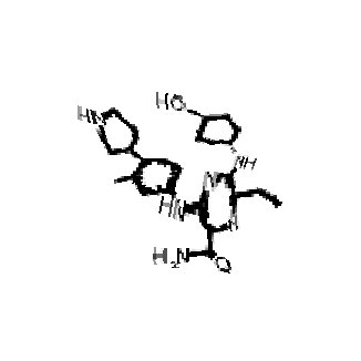 CCc1nc(C(N)=O)c(Nc2ccc(C3CCNCC3)c(C)c2)nc1N[C@H]1CC[C@H](O)CC1